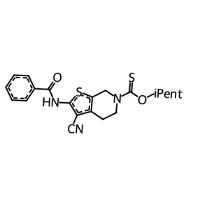 CCCC(C)OC(=S)N1CCc2c(sc(NC(=O)c3ccccc3)c2C#N)C1